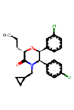 O=CCC[C@@H]1O[C@@H](c2cccc(Cl)c2)[C@@H](c2ccc(Cl)cc2)N(CC2CC2)C1=O